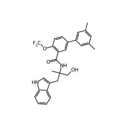 Cc1cc(C)cc(-c2ccc(OC(F)(F)F)c(C(=O)NC(C)(CO)Cc3c[nH]c4ccccc34)c2)c1